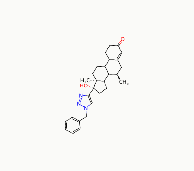 C[C@@H]1CC2=CC(=O)CCC2C2CC[C@@]3(C)C(CC[C@@]3(O)c3cn(Cc4ccccc4)nn3)C21